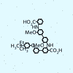 CCC(C)(C)c1ccc(Oc2cccc(-c3ccc(C(=O)O)c(Nc4ccc(-c5ccc(Nc6ccccc6C(=O)O)c(OC)c5)cc4OC)c3)c2)cc1